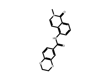 Cn1ccc2c(NC(=O)c3ccc4c(c3)OCCO4)cccc2c1=O